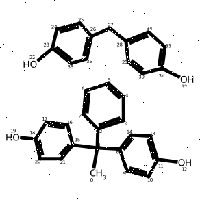 CC(c1ccccc1)(c1ccc(O)cc1)c1ccc(O)cc1.Oc1ccc(Cc2ccc(O)cc2)cc1